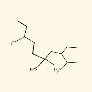 CCC(F)CCC(C)(S)CC(CC)C(C)P